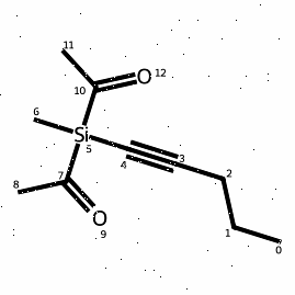 CCCC#C[Si](C)(C(C)=O)C(C)=O